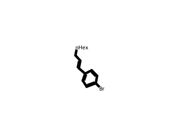 CCCCCCCC=Cc1ccc(Br)cc1